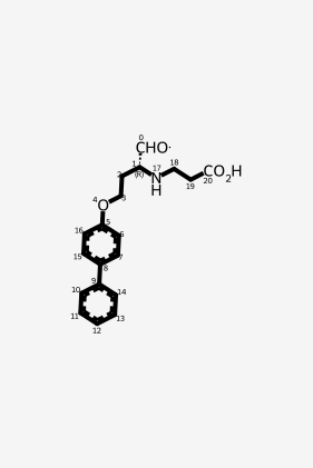 O=[C][C@@H](CCOc1ccc(-c2ccccc2)cc1)NCCC(=O)O